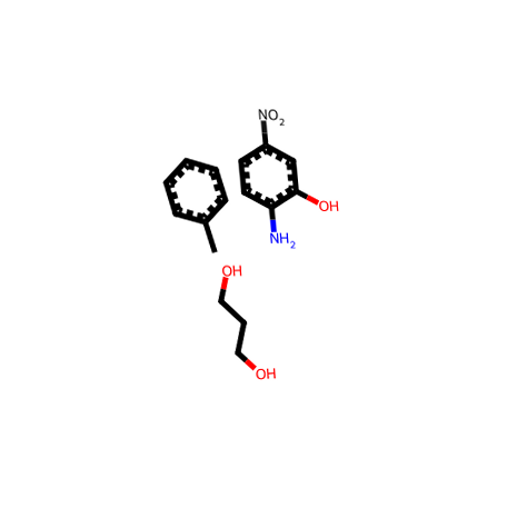 Cc1ccccc1.Nc1ccc([N+](=O)[O-])cc1O.OCCCO